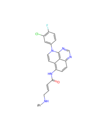 CC(C)NC/C=C/C(=O)Nc1ccc2ncnc3c2c1C=CN3c1ccc(F)c(Cl)c1